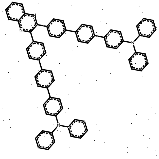 c1ccc(N(c2ccccc2)c2ccc(-c3ccc(-c4ccc(-c5nc6ccccc6nc5-c5ccc(-c6ccc(-c7ccc(N(c8ccccc8)c8ccccc8)cc7)cc6)cc5)cc4)cc3)cc2)cc1